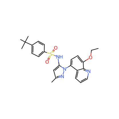 CCOc1ccc(-n2nc(C)cc2NS(=O)(=O)c2ccc(C(C)(C)C)cc2)c2cccnc12